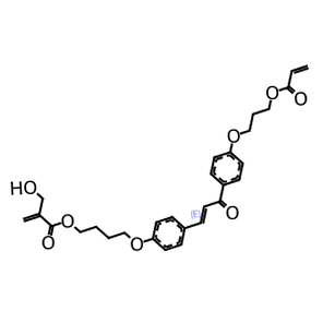 C=CC(=O)OCCCOc1ccc(C(=O)/C=C/c2ccc(OCCCCOC(=O)C(=C)CO)cc2)cc1